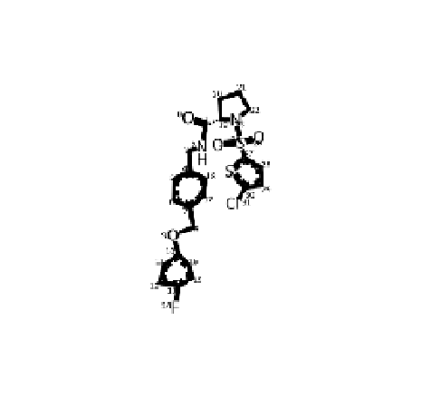 O=C(NCc1ccc(COc2ccc(F)cc2)cc1)[C@@H]1CCCN1S(=O)(=O)c1ccc(Cl)s1